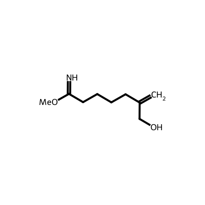 C=C(CO)CCCCC(=N)OC